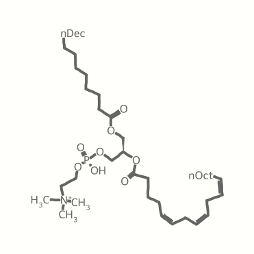 CCCCCCCC/C=C\C/C=C\C/C=C\CCCC(=O)O[C@H](COC(=O)CCCCCCCCCCCCCCCCC)COP(=O)(O)OCC[N+](C)(C)C